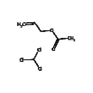 C=CCOC(C)=O.ClC(Cl)Cl